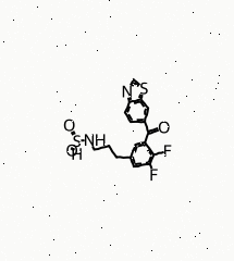 O=C(c1ccc2ncsc2c1)c1cc(CCCN[SH](=O)=O)cc(F)c1F